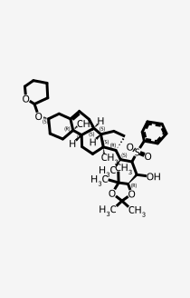 C[C@H](C(C(O)[C@H]1OC(C)(C)OC1(C)C)S(=O)(=O)c1ccccc1)[C@H]1CC[C@H]2[C@@H]3CC=C4C[C@@H](OC5CCCCO5)CC[C@]4(C)[C@H]3CC[C@]12C